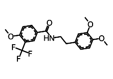 COc1ccc(CCNC(=O)c2ccc(OC)c(C(F)(F)F)c2)cc1OC